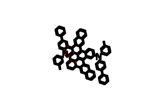 Cc1cccc(N(c2ccc(-c3ccccc3)cc2)c2ccc3c(-c4cc5ccccc5cc4C4C=CC=CC4)c4cc(N(c5ccc(-c6ccccc6)cc5)c5cccc(C)c5)ccc4c(-c4cc5ccccc5cc4-c4ccccc4)c3c2)c1